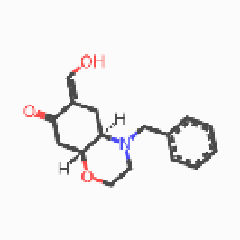 O=C1C[C@H]2OCCN(Cc3ccccc3)[C@@H]2CC1=CO